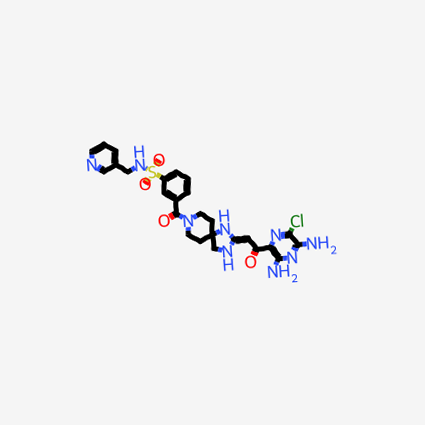 Nc1nc(N)c(C(=O)/C=C2\NCC3(CCN(C(=O)c4cccc(S(=O)(=O)NCc5cccnc5)c4)CC3)N2)nc1Cl